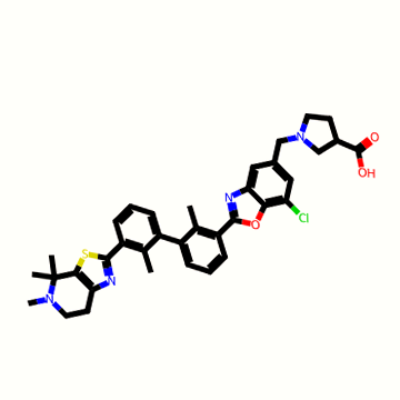 Cc1c(-c2nc3cc(CN4CCC(C(=O)O)C4)cc(Cl)c3o2)cccc1-c1cccc(-c2nc3c(s2)C(C)(C)N(C)CC3)c1C